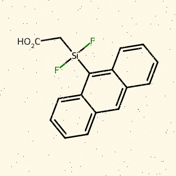 O=C(O)C[Si](F)(F)c1c2ccccc2cc2ccccc12